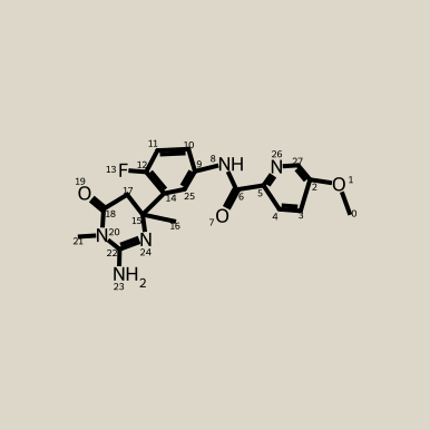 COc1ccc(C(=O)Nc2ccc(F)c(C3(C)CC(=O)N(C)C(N)=N3)c2)nc1